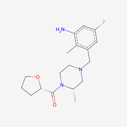 Cc1c(N)cc(F)cc1CN1CCN(C(=O)[C@@H]2CCCO2)[C@@H](C)C1